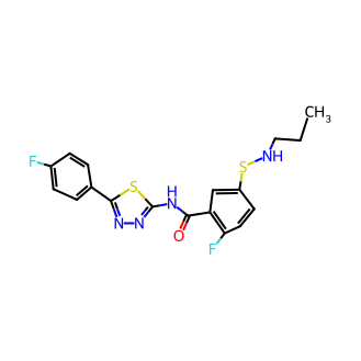 CCCNSc1ccc(F)c(C(=O)Nc2nnc(-c3ccc(F)cc3)s2)c1